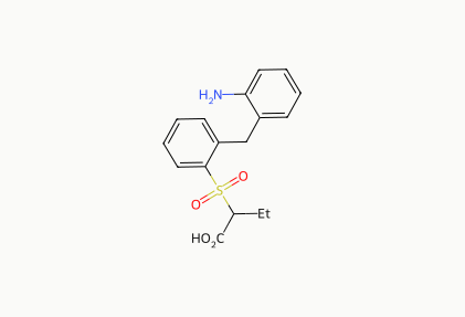 CCC(C(=O)O)S(=O)(=O)c1ccccc1Cc1ccccc1N